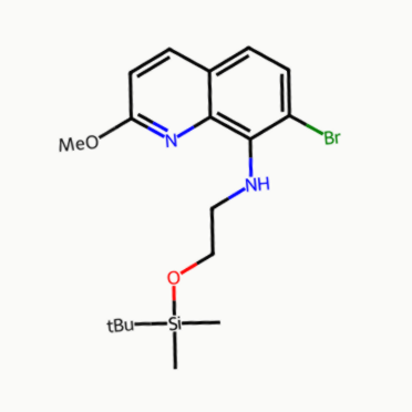 COc1ccc2ccc(Br)c(NCCO[Si](C)(C)C(C)(C)C)c2n1